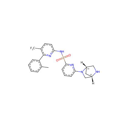 Cc1ccccc1-c1nc(NS(=O)(=O)c2cccc(N3C[C@@H]4C[C@H]3CN4)n2)ccc1C(F)(F)F